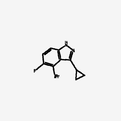 CC(C)c1c(F)ccc2[nH]nc(C3CC3)c12